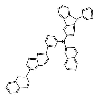 c1ccc(-n2c3ccccc3c3cc(N(c4cccc(-c5ccc6cc(-c7ccc8ccccc8c7)ccc6c5)c4)c4ccc5ccccc5c4)ccc32)cc1